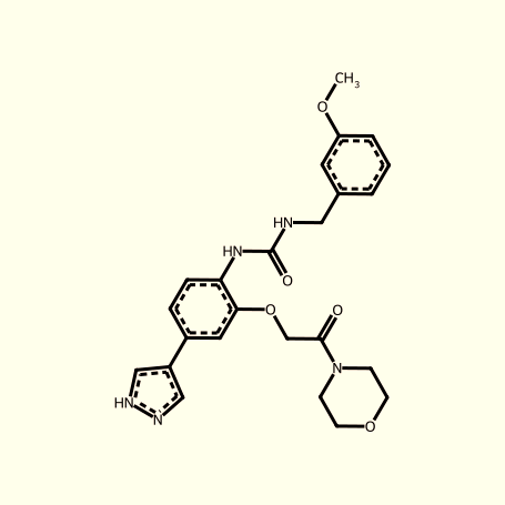 COc1cccc(CNC(=O)Nc2ccc(-c3cn[nH]c3)cc2OCC(=O)N2CCOCC2)c1